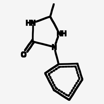 CC1NC(=O)N(c2ccccc2)N1